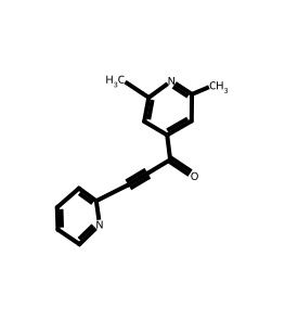 Cc1cc(C(=O)C#Cc2ccccn2)cc(C)n1